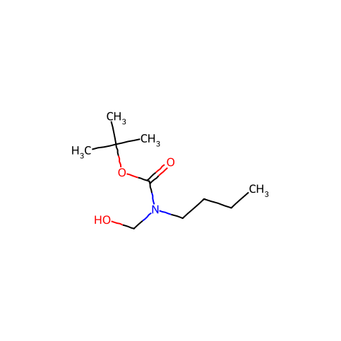 CCCCN(CO)C(=O)OC(C)(C)C